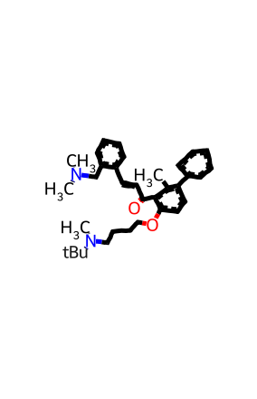 Cc1c(-c2ccccc2)ccc(OCCCCN(C)C(C)(C)C)c1C(=O)C=Cc1ccccc1CN(C)C